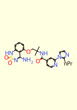 CCCc1nccn1-c1cc(C(=O)NC(C)(C)COc2cccc3c2C(N)=NS(=O)(=O)N3)ccn1